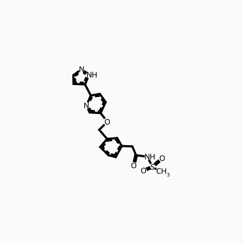 CS(=O)(=O)NC(=O)Cc1cccc(COc2ccc(-c3ccn[nH]3)nc2)c1